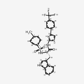 Cc1ccc(S(=O)(=O)N[C@@H](Cc2c[nH]c3ccccc23)C(=O)Nc2nc(-c3ccc(C(F)(F)F)cc3)cs2)cc1